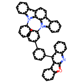 c1ccc(-n2c3ccccc3c3ccc4c5ccccc5n(-c5cccc(-c6cccc(-c7c8ccccc8nc8oc9ccccc9c78)c6)c5)c4c32)cc1